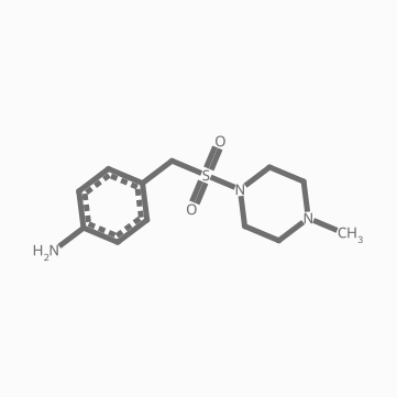 CN1CCN(S(=O)(=O)Cc2ccc(N)cc2)CC1